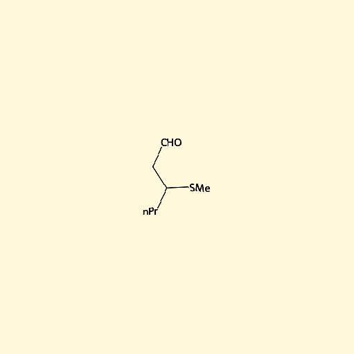 CCCC(CC=O)SC